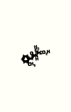 Cc1ccccc1CC(=O)N[C@@H](C)C(=O)O